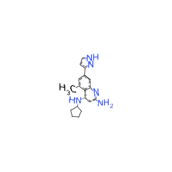 Cc1cc(-c2cc[nH]n2)cc2nc(N)cc(NC3CCCC3)c12